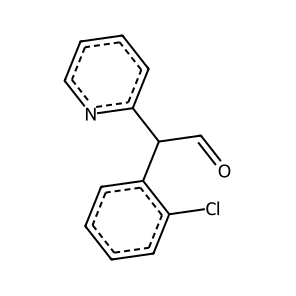 O=CC(c1ccccn1)c1ccccc1Cl